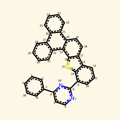 c1ccc(-c2ccnc(-c3cccc4c3sc3c4ccc4c5ccccc5c5ccccc5c43)n2)cc1